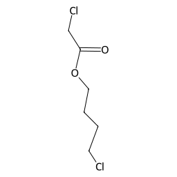 O=C(CCl)OCCCCCl